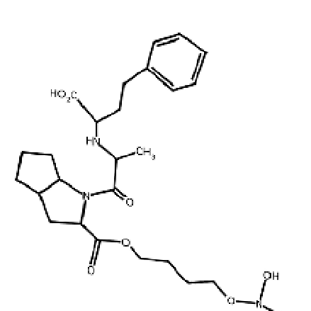 CC(NC(CCc1ccccc1)C(=O)O)C(=O)N1C(C(=O)OCCCCON(O)O)CC2CCCC21